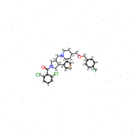 O=C(c1c(Cl)cccc1Cl)N1CC(CN2CCC(COCc3ccc(F)cc3)CC2)C(c2ccsc2)C1